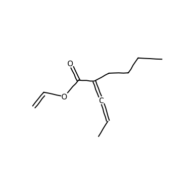 C=COC(=O)C(=C=CC)CCCC